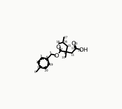 Cc1ccc(COC(=O)C(C)(CC(=O)O)CC(C)C)cc1